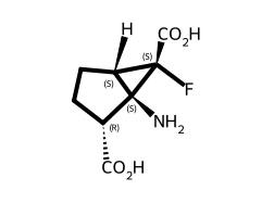 N[C@@]12[C@H](C(=O)O)CC[C@@H]1[C@@]2(F)C(=O)O